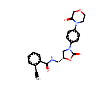 C#Cc1ccccc1C(=O)NC[C@@H]1CN(c2ccc(N3CCOCC3=O)cc2)C(=O)O1